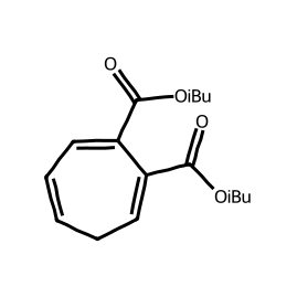 CC(C)COC(=O)C1=CC=CCC=C1C(=O)OCC(C)C